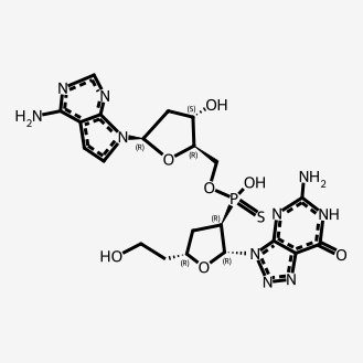 Nc1nc2c(nnn2[C@@H]2O[C@H](CCO)C[C@H]2P(O)(=S)OC[C@H]2O[C@@H](n3ccc4c(N)ncnc43)C[C@@H]2O)c(=O)[nH]1